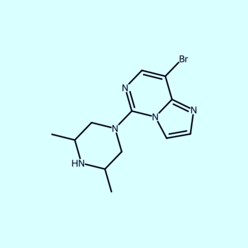 CC1CN(c2ncc(Br)c3nccn23)CC(C)N1